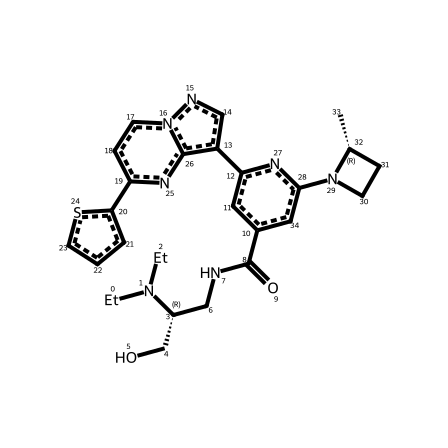 CCN(CC)[C@@H](CO)CNC(=O)c1cc(-c2cnn3ccc(-c4cccs4)nc23)nc(N2CC[C@H]2C)c1